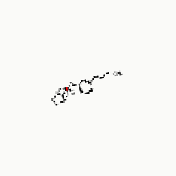 CCCCc1cccc(OC2CC3CCN(C2)C3[C]=O)c1